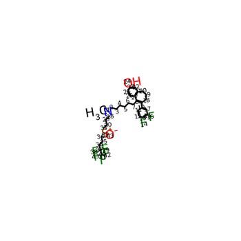 CN(CCCCCCC1=C(c2ccc(F)c(F)c2)CCCc2cc(O)ccc21)CCCC[S+]([O-])CCCC(F)(F)C(F)(F)F